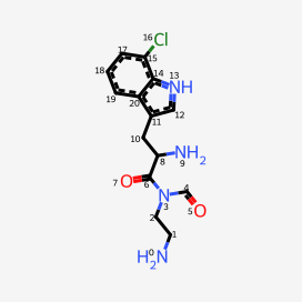 NCCN(C=O)C(=O)C(N)Cc1c[nH]c2c(Cl)cccc12